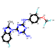 Cc1nc2ccc(F)cc2n1-c1nc(N)nc(Nc2ccc(OC(F)F)c(F)c2)n1